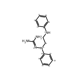 NC(N)=NN(CCNc1ccccc1)c1ccccc1